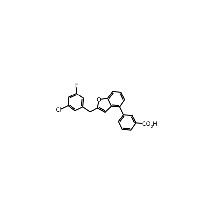 O=C(O)c1cccc(-c2cccc3oc(Cc4cc(F)cc(Cl)c4)cc23)c1